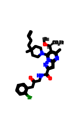 C=CCCC1(C)CCN(c2c([C@H](OC(C)(C)C)C(=O)OCC)c(C)nc3cc(C(=O)NCC(=O)Cc4ccccc4Br)nn23)CC1